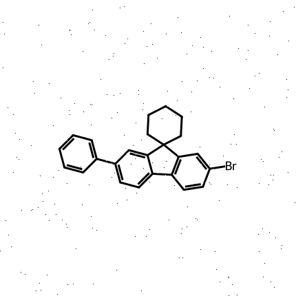 Brc1ccc2c(c1)C1(CCCCC1)c1cc(-c3ccccc3)ccc1-2